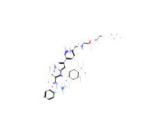 COCCOCCNC(=O)c1cc(C)c(-c2cc3c(N[C@H]4CC[C@H](N)CC4)c(/C(N)=N/c4cc(F)ccc4Cl)cnn3c2)cn1